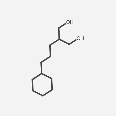 OCC(CO)CCCC1CCCCC1